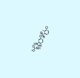 COC(=O)Nc1nc2ccc(OS(=O)(=O)c3cccc(Cl)c3C)cc2[nH]1